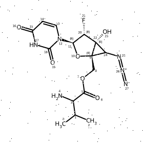 CC(C)C(N)C(=O)OC[C@@]12O[C@@H](n3ccc(=O)[nH]c3=O)[C@H](F)[C@@]1(O)C2N=[N+]=[N-]